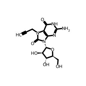 C#CCn1c(=O)n([C@@H]2O[C@@H](CO)[C@H](O)[C@H]2O)c2nc(N)[nH]c(=O)c21